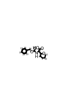 O=C(NC(C(=O)O)C1CCCCO1)OCc1ccccc1